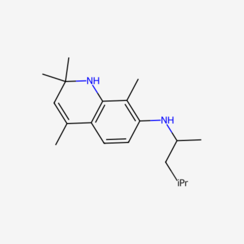 CC1=CC(C)(C)Nc2c1ccc(NC(C)CC(C)C)c2C